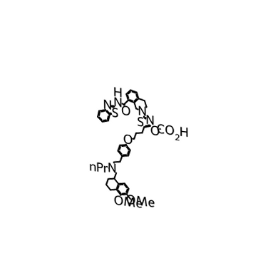 CCCN(CCc1ccc(OCCCc2sc(N3CCc4cccc(C(=O)Nc5nc6ccccc6s5)c4C3)nc2OC(=O)O)cc1)CC1CCCc2c1ccc(OC)c2OC